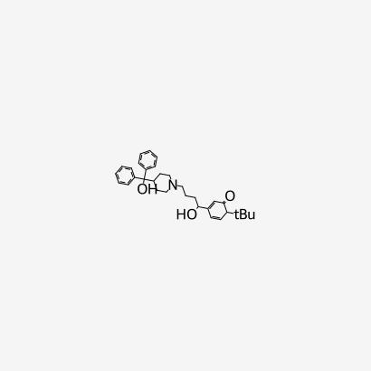 CC(C)(C)C1C=CC(C(O)CCCN2CCC(C(O)(c3ccccc3)c3ccccc3)CC2)=CC1=O